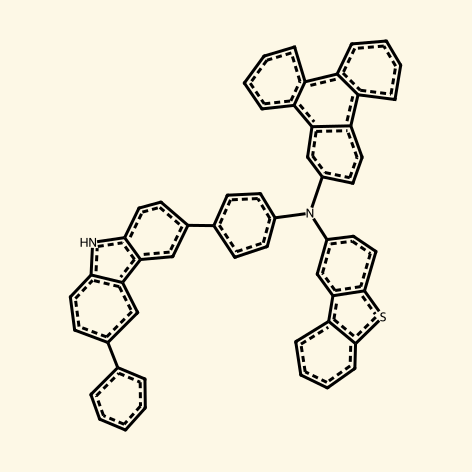 c1ccc(-c2ccc3[nH]c4ccc(-c5ccc(N(c6ccc7sc8ccccc8c7c6)c6ccc7c8ccccc8c8ccccc8c7c6)cc5)cc4c3c2)cc1